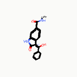 CCCNC(=O)c1ccc2c(c1)NC(=O)/C2=C(/O)c1ccccc1